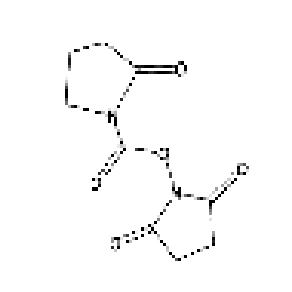 O=C1CCCN1C(=O)ON1C(=O)CCC1=O